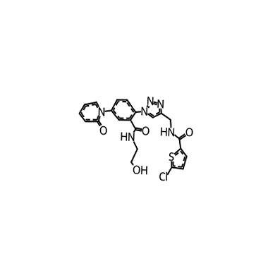 O=C(NCc1cn(-c2ccc(-n3ccccc3=O)cc2C(=O)NCCO)nn1)c1ccc(Cl)s1